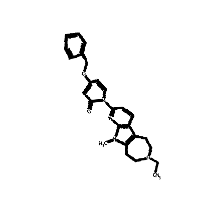 CCN1CCc2c(n(C)c3nc(-n4ccc(OCc5ccccc5)cc4=O)ccc23)CC1